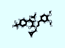 COc1ccc(CCN(CC2CC2)C(=O)c2sc(C)nc2-c2ccc(C(F)(F)F)cc2)cc1OC